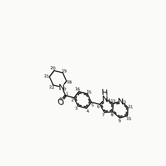 O=C(c1ccc(-c2cc3cccnc3[nH]2)cc1)N1CCCCC1